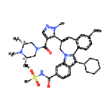 COc1ccc2c(c1)C=C(c1c(C(=O)N3C[C@@H](C)N(C)[C@@H](C)C3)cnn1C(C)C)Cn1c-2c(C2CCCCC2)c2ccc(C(=O)NS(=O)(=O)C(C)C)cc21